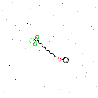 Cl[Si](Cl)(Cl)CCCCCCCCCCCOc1ccccc1